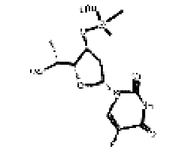 C[C@@H](O)[C@H]1O[C@@H](n2cc(F)c(=O)[nH]c2=O)C[C@@H]1O[Si](C)(C)C(C)(C)C